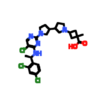 C[C@@H](Nc1nc(N2CCC(C3CCN(C4CC(C)(C(=O)O)C4)C3)C2)ncc1Cl)c1ccc(Cl)cc1Cl